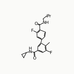 Cc1c(F)cc(C(=O)NC2CC2)cc1-c1ccc(C(=O)NCC(C)C)c(F)c1